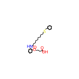 O=C(O)CCCOc1ccccc1NC(=O)CCCCCCCCCSCc1ccccc1